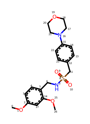 COc1ccc(CNS(=O)(=O)Cc2ccc(N3CCOCC3)cc2)c(OC)c1